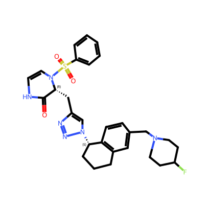 O=C1NC=CN(S(=O)(=O)c2ccccc2)[C@@H]1Cc1cn([C@H]2CCCc3cc(CN4CCC(F)CC4)ccc32)nn1